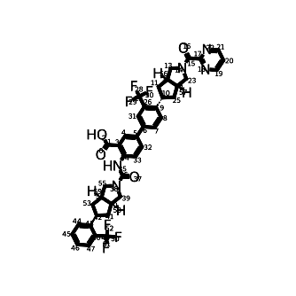 O=C(O)c1cc(-c2ccc([C@@H]3C[C@@H]4CN(C(=O)c5ncccn5)C[C@@H]4C3)c(C(F)(F)F)c2)ccc1NC(=O)N1C[C@H]2C[C@@H](c3ccccc3C(F)(F)F)C[C@H]2C1